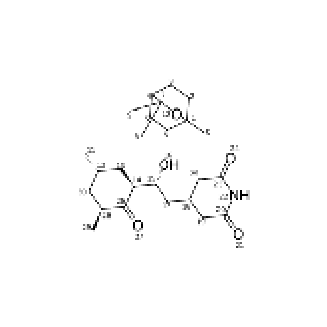 CC12CCC(CC1)C(C)(C)O2.C[C@@H]1C[C@@H]([C@H](O)CC2CC(=O)NC(=O)C2)C(=O)[C@@H](C)C1